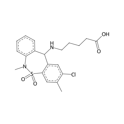 Cc1cc2c(cc1Cl)C(NCCCCC(=O)O)c1ccccc1N(C)S2(=O)=O